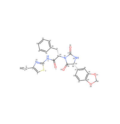 O=C(O)c1csc(NC(=O)[C@H](Cc2ccccc2)N2C(=O)N[C@H](c3ccc4c(c3)OCO4)C2=O)n1